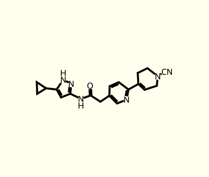 N#CN1CC=C(c2ccc(CC(=O)Nc3cc(C4CC4)[nH]n3)cn2)CC1